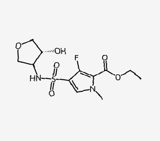 CCOC(=O)c1c(F)c(S(=O)(=O)NC2COC[C@@H]2O)cn1C